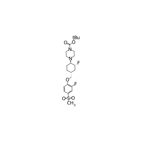 CC(C)(C)OC(=O)N1CCN([C@@H]2CC[C@@H](COc3ccc(S(C)(=O)=O)cc3F)C[C@H]2F)CC1